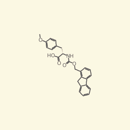 COc1ccc(C[C@H](NC(=O)OCc2cccc3c2Cc2ccccc2-3)C(=O)O)cc1